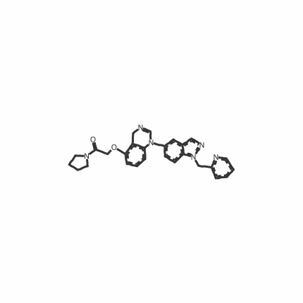 O=C(COc1cccc2c1CN=CN2c1ccc2c(cnn2Cc2ccccn2)c1)N1CCCC1